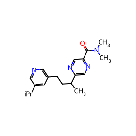 CC(C)c1cncc(CCC(C)c2cnc(C(=O)N(C)C)cn2)c1